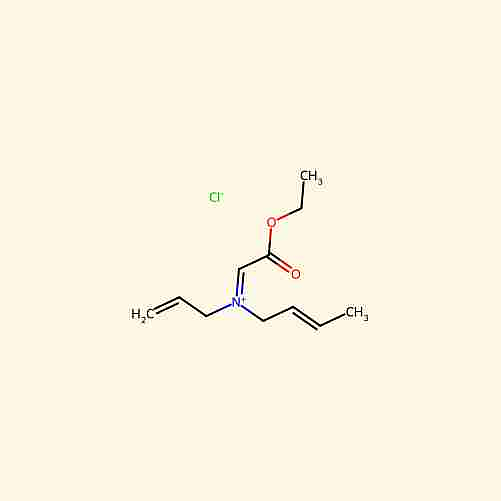 C=CC[N+](=CC(=O)OCC)CC=CC.[Cl-]